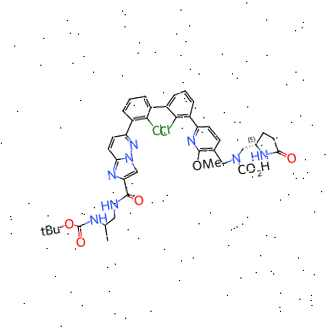 COc1nc(-c2cccc(-c3cccc(-c4ccc5nc(C(=O)NCC(C)NC(=O)OC(C)(C)C)cn5n4)c3Cl)c2Cl)ccc1CN(C[C@@H]1CCC(=O)N1)C(=O)O